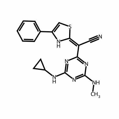 CNc1nc(NC2CC2)nc(C(C#N)=C2NC(c3ccccc3)=CS2)n1